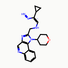 N=N/C(=C\NCc1nc2cnc3ccccc3c2n1C1CCOCC1)C1CC1